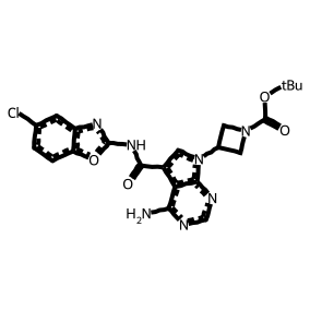 CC(C)(C)OC(=O)N1CC(n2cc(C(=O)Nc3nc4cc(Cl)ccc4o3)c3c(N)ncnc32)C1